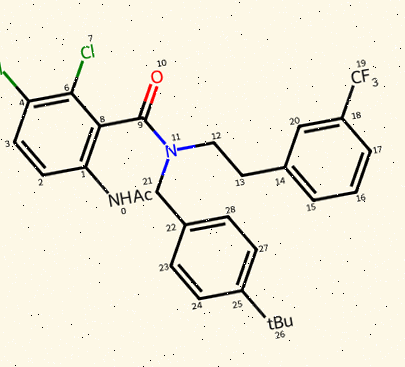 CC(=O)Nc1ccc(Cl)c(Cl)c1C(=O)N(CCc1cccc(C(F)(F)F)c1)Cc1ccc(C(C)(C)C)cc1